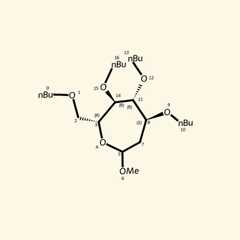 CCCCOC[C@H]1OC(OC)C[C@H](OCCCC)[C@@H](OCCCC)[C@@H]1OCCCC